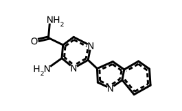 NC(=O)c1cnc(-c2cnc3ccccc3c2)nc1N